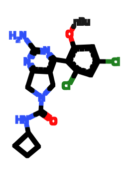 CCCCOc1cc(Cl)cc(Cl)c1-c1nc(N)nc2c1CN(C(=O)NC1CCC1)C2